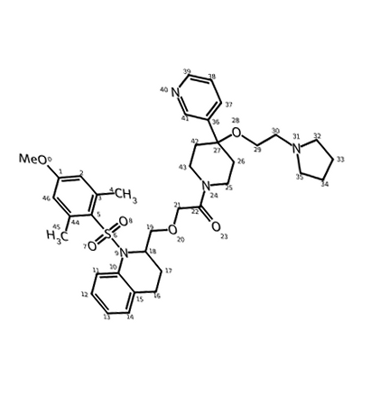 COc1cc(C)c(S(=O)(=O)N2c3ccccc3CCC2COCC(=O)N2CCC(OCCN3CCCC3)(c3cccnc3)CC2)c(C)c1